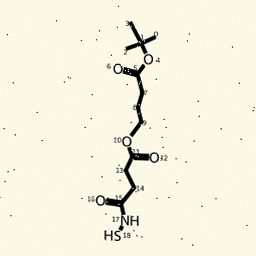 CC(C)(C)OC(=O)CCCOC(=O)CCC(=O)NS